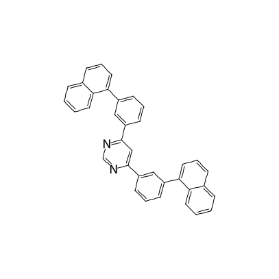 c1cc(-c2cc(-c3cccc(-c4cccc5ccccc45)c3)ncn2)cc(-c2cccc3ccccc23)c1